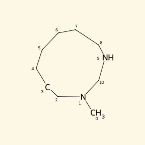 CN1CCCCCCCNC1